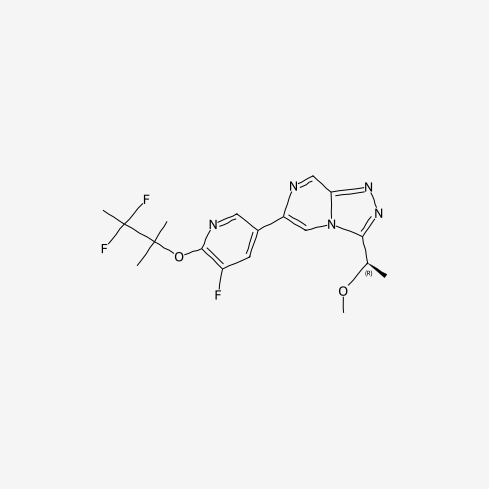 CO[C@H](C)c1nnc2cnc(-c3cnc(OC(C)(C)C(C)(F)F)c(F)c3)cn12